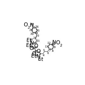 CCN(CC)C(CCCc1ccc([N+](=O)[O-])cc1)OC(=O)C(=O)OC(CCCc1ccc([N+](=O)[O-])cc1)N(CC)CC